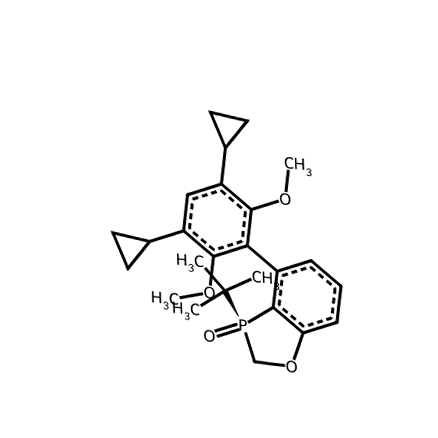 COc1c(C2CC2)cc(C2CC2)c(OC)c1-c1cccc2c1[P@](=O)(C(C)(C)C)CO2